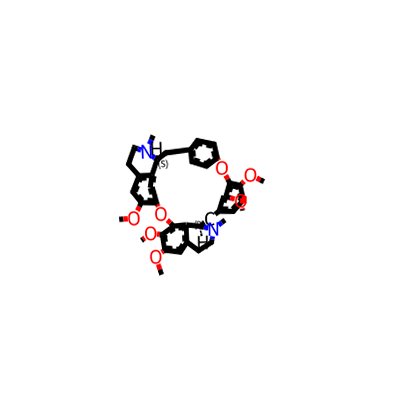 COc1cc2c3cc1Oc1c(OC)c(OC)cc4c1[C@@H](Cc1ccc(OC)c(c1OC)Oc1ccc(cc1)C[C@@H]3N(C)CC2)N(C)CC4